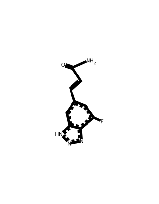 NC(=O)C=Cc1cc(F)c2nn[nH]c2c1